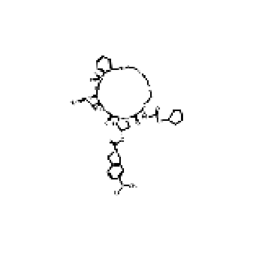 C=C[C@@H]1C[C@@]12NC(=O)[C@@H]1C[C@@H](OC(=O)N3Cc4ccc(N(C)C)cc4C3)CN1C(=O)[C@@H](NC(=O)OC1CCCC1)CCCCCCCNc1ccccc1S(=O)(=O)NC2=O